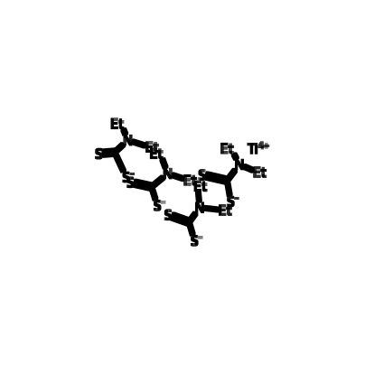 CCN(CC)C(=S)[S-].CCN(CC)C(=S)[S-].CCN(CC)C(=S)[S-].CCN(CC)C(=S)[S-].[Ti+4]